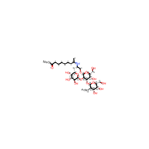 COC(=O)CCCCCCC(C)NCCO[C@@H]1O[C@H](CO)[C@H](O)[C@H](O[C@H]2O[C@H](CO)[C@H](O)[C@H](O)[C@H]2NC(C)=O)[C@H]1O[C@@H]1O[C@@H](C)[C@@H](O)[C@@H](O)[C@@H]1O